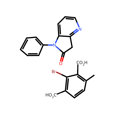 Cc1ccc(C(=O)O)c(Br)c1C(=O)O.O=C1Cc2ncccc2N1c1ccccc1